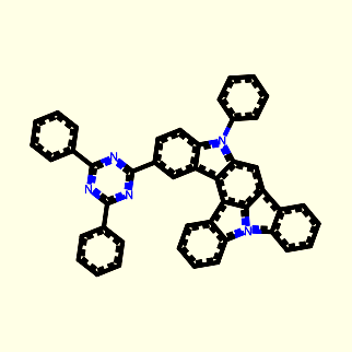 c1ccc(-c2nc(-c3ccccc3)nc(-c3ccc4c(c3)c3c5c6ccccc6n6c7ccccc7c(cc3n4-c3ccccc3)c56)n2)cc1